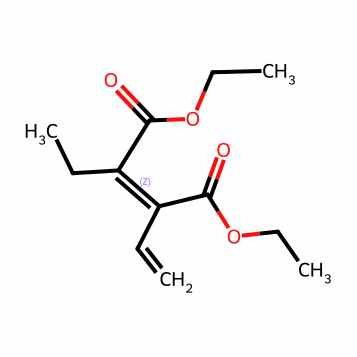 C=C/C(C(=O)OCC)=C(\CC)C(=O)OCC